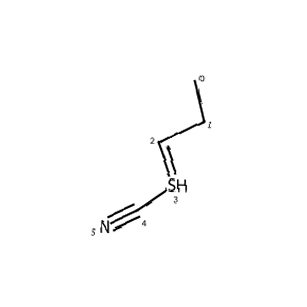 CCC=[SH]C#N